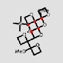 COC1(C2(C3([Si](C)(O[Si](C)(C)C)C4(C5(C6(OC)CCO6)CCO5)CCO4)CCO3)CCO2)CCO1